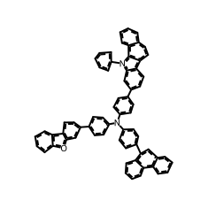 c1ccc(-n2c3cc(-c4ccc(N(c5ccc(-c6ccc7c(c6)oc6ccccc67)cc5)c5ccc(-c6cc7ccccc7c7ccccc67)cc5)cc4)ccc3c3ccc4ccccc4c32)cc1